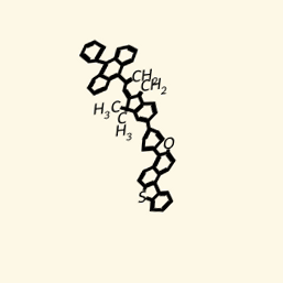 C=C1/C(=C\C(=C)c2c3ccccc3c(-c3ccccc3)c3ccccc23)C(C)(C)c2cc(-c3ccc4c(c3)oc3ccc5c(ccc6sc7ccccc7c65)c34)ccc21